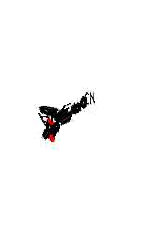 CCC1C(c2ccc(-c3ccc(C#N)cc3)cc2)N=C(c2ccc3c(c2)C2(c4ccccc4Sc4ccccc42)c2ccccc2-3)NC1c1ccccc1